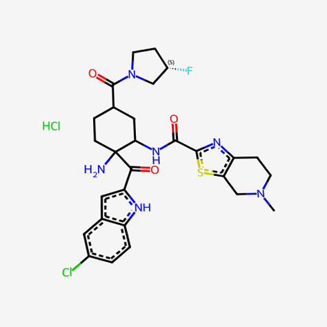 CN1CCc2nc(C(=O)NC3CC(C(=O)N4CC[C@H](F)C4)CCC3(N)C(=O)c3cc4cc(Cl)ccc4[nH]3)sc2C1.Cl